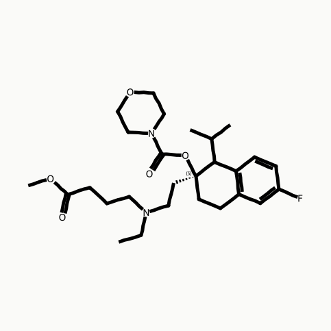 CCN(CCCC(=O)OC)CC[C@@]1(OC(=O)N2CCOCC2)CCc2cc(F)ccc2C1C(C)C